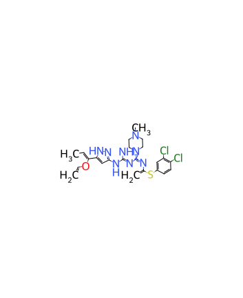 C=CO/C(=C\C)c1cc(N/C(N)=N/C(=N\C(=C)Sc2ccc(Cl)c(Cl)c2)N2CCN(C)CC2)n[nH]1